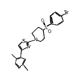 Cc1ccc(C)c(-c2csc(N3CCC(S(=O)(=O)c4ccc(Br)cc4)CC3)n2)c1